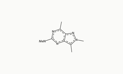 CNc1nc(C)c2nn(C)c(C)c2n1